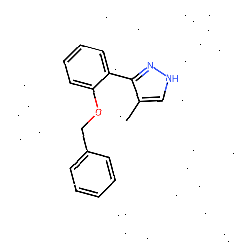 Cc1c[nH]nc1-c1ccccc1OCc1ccccc1